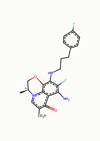 C[C@H]1COc2c(NCCCc3ccc(F)cc3)c(F)c(N)c3c(=O)c(C(=O)O)cn1c23